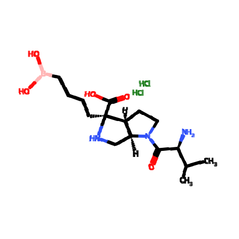 CC(C)[C@H](N)C(=O)N1CC[C@H]2[C@@H]1CN[C@@]2(CCCCB(O)O)C(=O)O.Cl.Cl